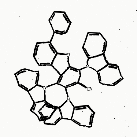 N#Cc1c(-n2c3ccccc3c3ccccc32)c(-n2c3ccccc3c3ccccc32)c2c(oc3c(-c4ccccc4)cccc32)c1-n1c2ccccc2c2ccccc21